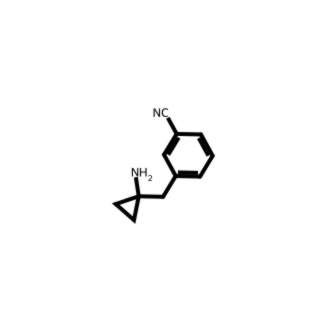 N#Cc1cccc(CC2(N)CC2)c1